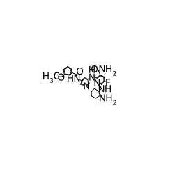 COc1cccc(C(=O)Nc2cncc(Nc3nc(NC4CCCC[C@@H]4N)c(F)cc3C(N)=O)c2)c1